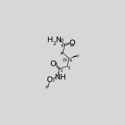 CONC(=O)[CH][C@H](C)CC(N)=O